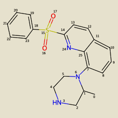 CC1CNCCN1c1cccc2ccc(S(=O)(=O)c3ccccc3)nc12